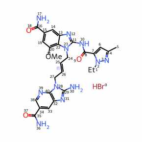 Br.CCn1nc(C)cc1C(=O)Nc1nc2cc(C(N)=O)cc(OC)c2n1C/C=C/Cn1c(N)nc2cc(C(N)=O)cnc21